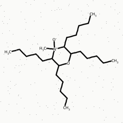 CCCCCC1OC(CCCCC)C(CCCCC)[N+](C)([O-])C1CCCCC